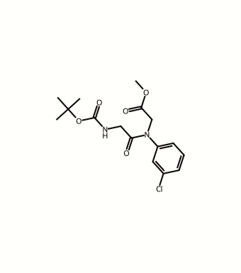 COC(=O)CN(C(=O)CNC(=O)OC(C)(C)C)c1cccc(Cl)c1